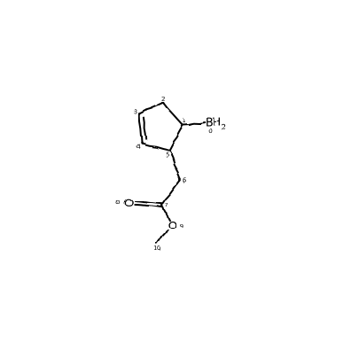 BC1CC=CC1CC(=O)OC